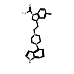 CC(=O)N1CC(CCN2CCN(c3cccc4[nH]ccc34)CC2)c2cc(F)ccc21